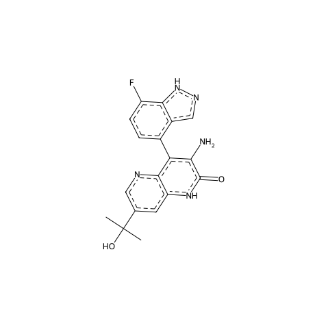 CC(C)(O)c1cnc2c(-c3ccc(F)c4[nH]ncc34)c(N)c(=O)[nH]c2c1